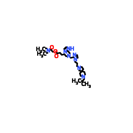 CCN(CC)C(=O)COC(=O)CCCCN(Cc1ncc[nH]1)Cc1nccn1CCCN1CCC2(CCN(CC(C)C)CC2)C1